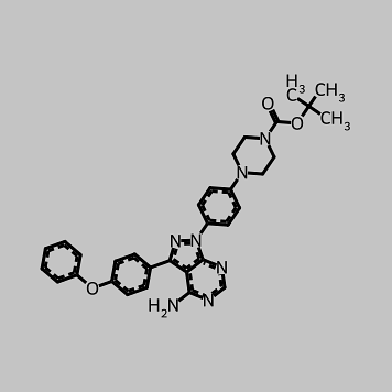 CC(C)(C)OC(=O)N1CCN(c2ccc(-n3nc(-c4ccc(Oc5ccccc5)cc4)c4c(N)ncnc43)cc2)CC1